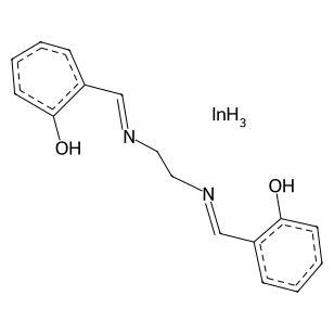 Oc1ccccc1/C=N/CC/N=C/c1ccccc1O.[InH3]